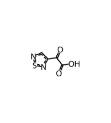 O=C(O)C(=O)c1cnsn1